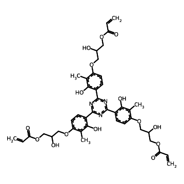 C=CC(=O)OCC(O)COc1ccc(-c2nc(-c3ccc(OCC(O)COC(=O)C=C)c(C)c3O)nc(-c3ccc(OCC(O)COC(=O)C=C)c(C)c3O)n2)c(O)c1C